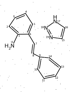 Nc1ccccc1C=Cc1ccccc1.c1c[nH]nn1